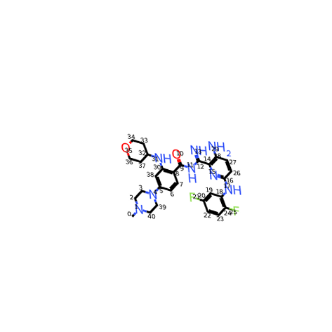 CN1CCN(c2ccc(C(=O)NC(=N)c3nc(Nc4cc(F)ccc4F)ccc3N)c(NC3CCOCC3)c2)CC1